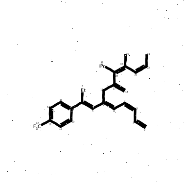 C=C\C=C/C=C(/C=C(\CC)c1ccc(C(F)(F)F)cc1)CC(=C)/C(=C(C)\C=C/C)C(C)C